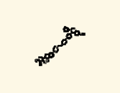 O=C1CCC(N2Cc3cc(N4CCN(CCC5CCN(C6=CCC([C@@H]7c8ccc(O)cc8CC[C@@H]7c7ccccc7)C=C6)CC5)CC4)ccc3C2=O)C(=O)N1